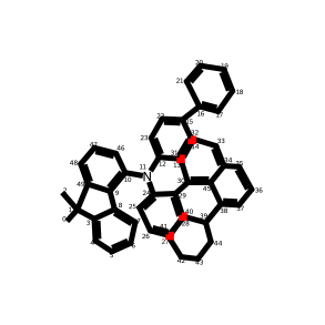 CC1(C)c2ccccc2-c2c(N(c3ccc(-c4ccccc4)cc3)c3ccccc3-c3cccc4cccc(C5CCCCC5)c34)cccc21